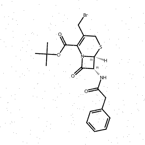 CC(C)(C)OC(=O)C1=C(CBr)CS[C@H]2[C@H](NC(=O)Cc3ccccc3)C(=O)N12